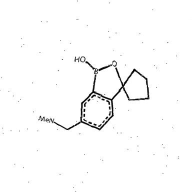 CNCc1ccc2c(c1)B(O)OC21CCCC1